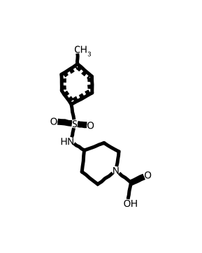 Cc1ccc(S(=O)(=O)NC2CCN(C(=O)O)CC2)cc1